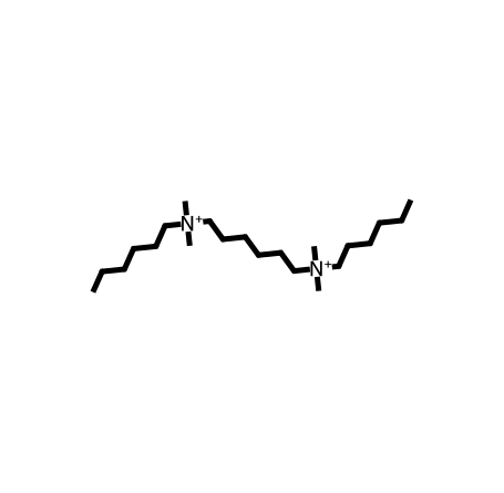 CCCCCC[N+](C)(C)CCCCCC[N+](C)(C)CCCCCC